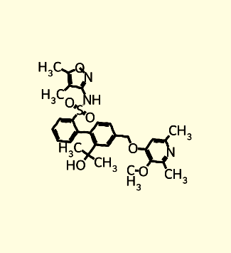 COc1c(OCc2ccc(-c3ccccc3S(=O)(=O)Nc3noc(C)c3C)c(C(C)(C)O)c2)cc(C)nc1C